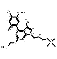 COc1cc(-c2nc(SCC(=O)O)nc3c2c(C#N)cn3COCC[Si](C)(C)C)c(Cl)cc1C#N